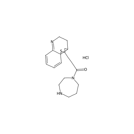 Cl.O=C(C1CC2CCN=C3C=CC=CC32S1)N1CCCNCC1